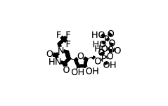 O=c1[nH]c(=O)n(CC(F)(F)F)cc1[C@@H]1O[C@H](COP(=O)(O)OP(=O)(O)OP(=O)(O)O)C(O)[C@@H]1O